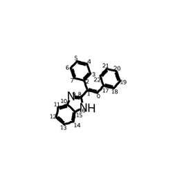 C(=C(c1ccccc1)c1nc2ccccc2[nH]1)c1ccccc1